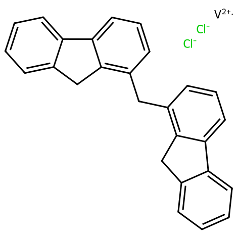 [Cl-].[Cl-].[V+2].c1ccc2c(c1)Cc1c(Cc3cccc4c3Cc3ccccc3-4)cccc1-2